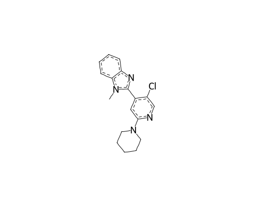 Cn1c(-c2cc(N3CCCCC3)ncc2Cl)nc2ccccc21